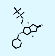 CC(C)(C)[Si](C)(C)OC[C@@H]1[C@H]2CC(=O)C[C@H]2C[C@H]1OC1CCCCO1